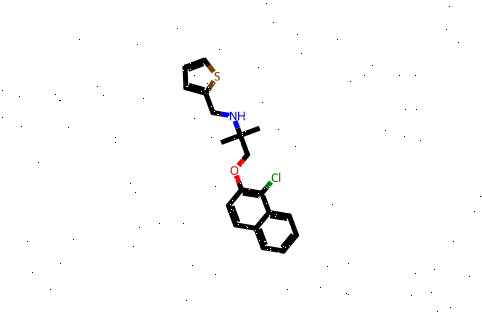 CC(C)(COc1ccc2ccccc2c1Cl)NCc1cccs1